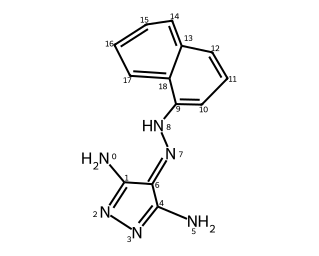 NC1=NN=C(N)C1=NNc1cccc2ccccc12